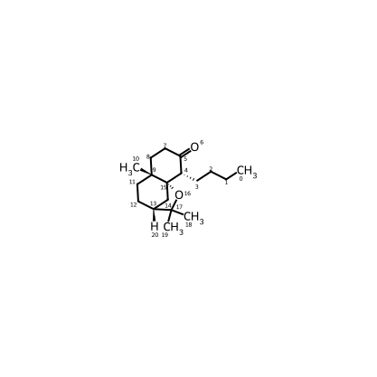 CCCC[C@H]1C(=O)CC[C@@]2(C)CC[C@@H]3C[C@]12OC3(C)C